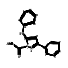 CNC(=O)n1nc(-c2ccccc2)cc1Sc1ccccc1